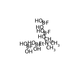 CC[N+](C)(C)C.OB(O)F.OB(O)F.OB(O)F.OB(O)F